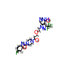 O=C(CCOCCn1nc(C(F)(F)F)c2c(=O)[nH]ncc21)N1CCN(c2nc3ccc(F)cc3o2)CC1